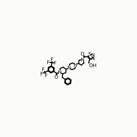 O=C(c1snnc1CO)N1CCC(N2CCN(C3CCN(C(=O)c4cc(C(F)(F)F)cc(C(F)(F)F)c4)C(Cc4ccccc4)C3)CC2)C1